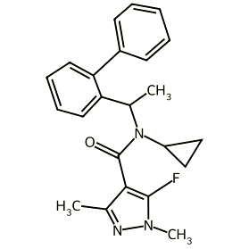 Cc1nn(C)c(F)c1C(=O)N(C1CC1)C(C)c1ccccc1-c1ccccc1